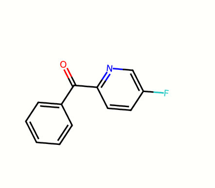 O=C(c1ccccc1)c1ccc(F)cn1